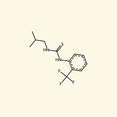 CC(C)CNC(=S)Nc1ccccc1C(F)(F)F